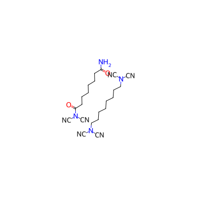 N#CN(C#N)C(=O)CCCCCCC(N)=O.N#CN(C#N)CCCCCCCCN(C#N)C#N